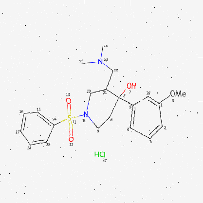 COc1cccc(C2(O)CCN(S(=O)(=O)c3ccccc3)CC2CN(C)C)c1.Cl